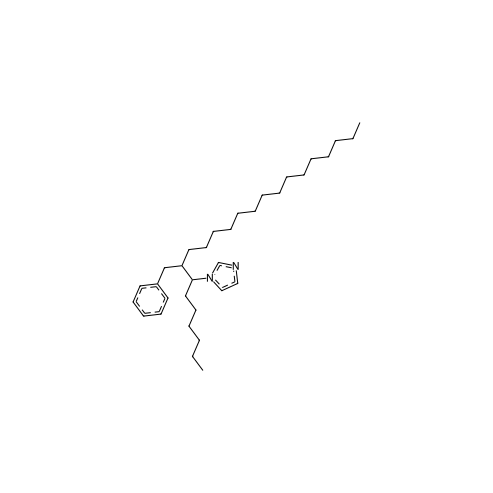 CCCCCCCCCCCCCCCC(Cc1ccccc1)C(CCCCCC)n1ccnc1